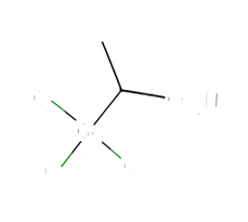 C[CH](C(=O)O)[Ge]([Cl])([Cl])[Cl]